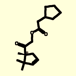 CC1(C)C=CC[C@@]1(C)C(=O)COC(=O)CC1CCCC1